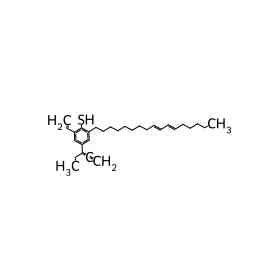 C=C=C(CC)c1cc(C=C)c(S)c(CCCCCCCC/C=C/C=C/CCCCC)c1